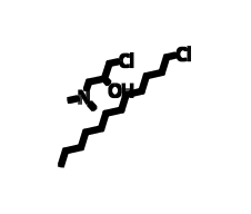 CCCCCCCCCCCCCl.CN(C)CC(O)CCl